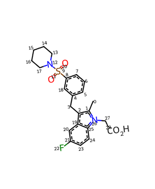 Cc1c(Cc2cccc(S(=O)(=O)N3CCCCC3)c2)c2cc(F)ccc2n1CC(=O)O